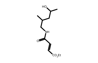 CCOC(=O)/C=C/C(=O)NCC(C)CC(C)O